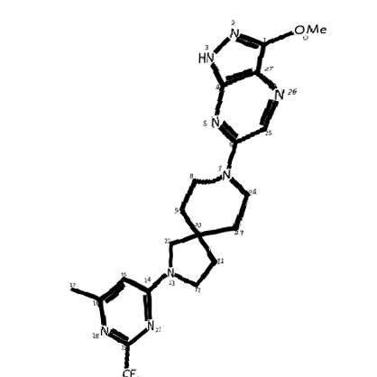 COc1n[nH]c2nc(N3CCC4(CCN(c5cc(C)nc(C(F)(F)F)n5)C4)CC3)cnc12